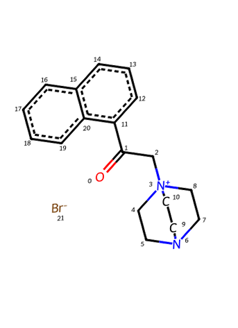 O=C(C[N+]12CCN(CC1)CC2)c1cccc2ccccc12.[Br-]